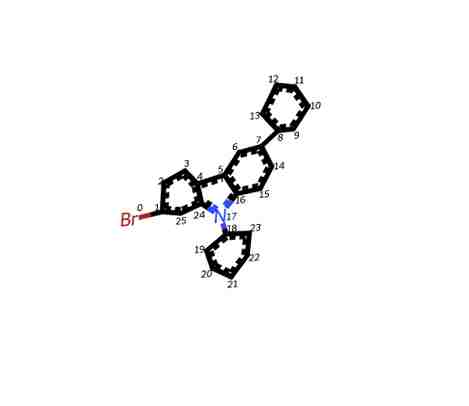 Brc1ccc2c3cc(-c4ccccc4)ccc3n(-c3ccccc3)c2c1